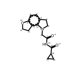 O=C(CN1CCc2ccc3c(c21)CCO3)NC(=O)C1CC1